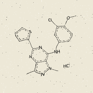 COc1ccc(Nc2nc(-c3cccs3)nc3c(C)nn(C)c23)cc1Cl.Cl